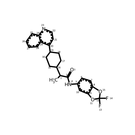 CC(C(=O)Nc1ccc2c(c1)OC(F)(F)O2)C1CCC(c2ccnc3ccccc23)CC1